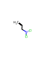 C=CC[N+](Cl)Cl